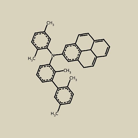 Cc1ccc(C)c(-c2cccc(N(c3cc4c5c(c3)CC=C3C=CC=C(C=C4)C35)c3cc(C)ccc3C)c2C)c1